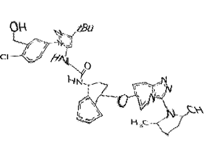 CC1CCCC(C)N1c1nnc2ccc(OC3CCC(NC(=O)Nc4cc(C(C)(C)C)nn4-c4ccc(Cl)c(CO)c4)c4ccccc43)cn12